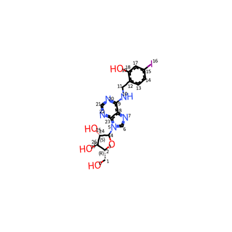 OC[C@H]1OC(n2cnc3c(NCc4ccc(I)cc4O)ncnc32)[C@@H](O)[C@@H]1O